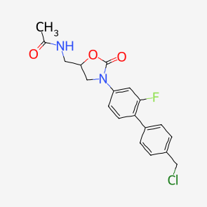 CC(=O)NCC1CN(c2ccc(-c3ccc(CCl)cc3)c(F)c2)C(=O)O1